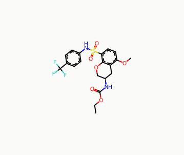 CCOC(=O)N[C@H]1COc2c(S(=O)(=O)Nc3ccc(C(F)(F)F)cc3)ccc(OC)c2C1